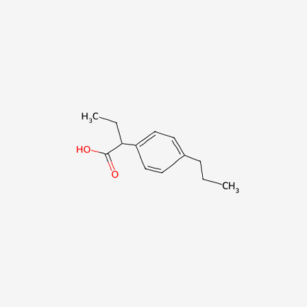 CCCc1ccc(C(CC)C(=O)O)cc1